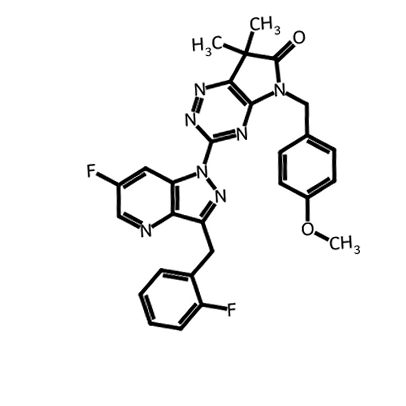 COc1ccc(CN2C(=O)C(C)(C)c3nnc(-n4nc(Cc5ccccc5F)c5ncc(F)cc54)nc32)cc1